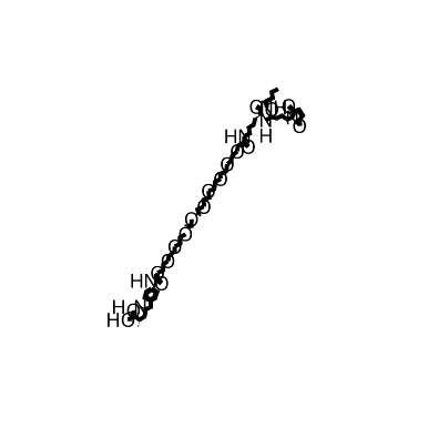 CCCCNC(=O)[C@H](CCCCNC(=O)COCCOCCOCCOCCOCCOCCOCCOCCOCCOC(=O)Nc1ccc(C[C@H](N)C[C@H](C)C(=O)O)cc1)NC(=O)CCCN1C(=O)C=CC1=O